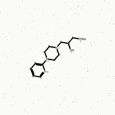 COCC(O)CN1CCN(c2ccccn2)CC1